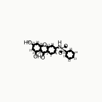 O=c1c2ccc(NS(=O)(=O)c3ccccc3)cc2oc2cc(O)cc(O)c12